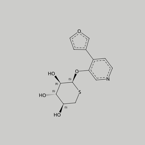 O[C@@H]1[C@@H](O)[C@@H](Oc2cnccc2-c2ccoc2)SC[C@H]1O